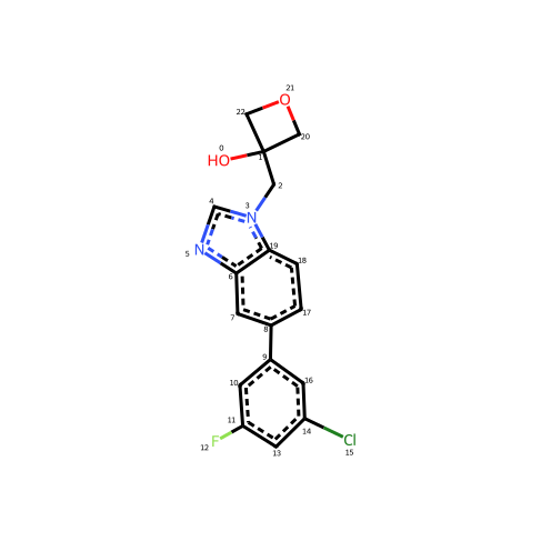 OC1(Cn2cnc3cc(-c4cc(F)cc(Cl)c4)ccc32)COC1